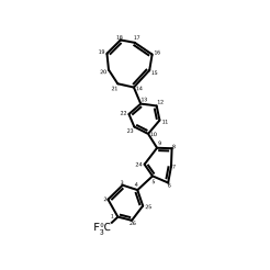 FC(F)(F)c1ccc(-c2cccc(-c3ccc(/C4=C/C=C\C=C/CC4)cc3)c2)cc1